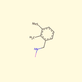 CSc1cccc(CNI)c1C